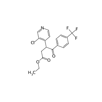 CCOC(=O)CC(C(=O)c1ccc(C(F)(F)F)cc1)c1ccncc1Cl